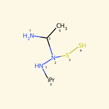 CC(C)NN(SS)C(C)N